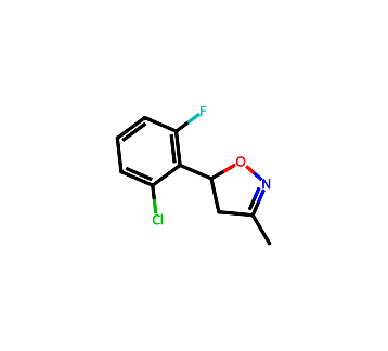 CC1=NOC(c2c(F)cccc2Cl)C1